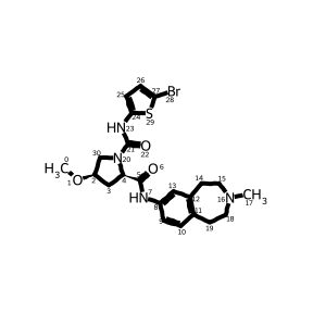 CO[C@@H]1C[C@H](C(=O)Nc2ccc3c(c2)CCN(C)CC3)N(C(=O)Nc2ccc(Br)s2)C1